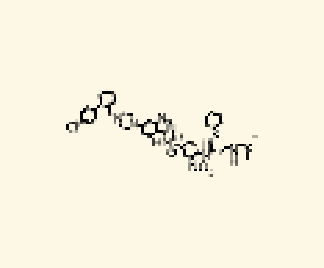 O=[N+]([O-])c1cc(S(=O)(=O)Nc2ncnc3cc(N4CCN(Cc5ccccc5-c5ccc(Cl)cc5)CC4)ccc23)ccc1N[C@H](CCNCC(F)F)CSc1ccccc1